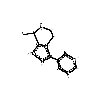 CC1NCCn2c(-c3cncnc3)nnc21